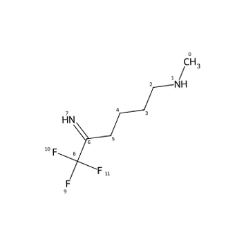 CNCCCCC(=N)C(F)(F)F